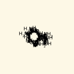 CC(C)C[C@@H]1NC(=O)[C@@H](Cc2ccccc2)NC(=O)[C@H](CCN)NC(=O)[C@@H](NC(=O)[C@H](CCN)NC(=O)[C@@H](NC(=O)CC(C)O)C(C)O)CCNC(=O)C(C(C)O)NC(=O)[C@H](CCN)NC(=O)[C@H](CCN)NC1=O